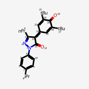 CCCC1=NN(c2ccc(C(C)C)cc2)C(=O)C1=C1C=C(C(C)(C)C)C(=O)C(C(C)(C)C)=C1